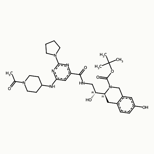 CC(=O)N1CCC(Nc2cc(C(=O)NC[C@@H](O)[C@@H]3Cc4ccc(O)cc4CN3C(=O)OC(C)(C)C)nc(N3CCCC3)n2)CC1